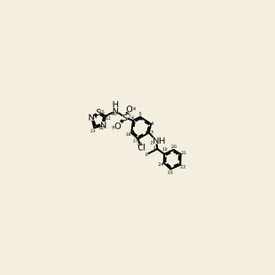 CC(Nc1ccc(S(=O)(=O)Nc2ncns2)cc1Cl)c1ccccc1